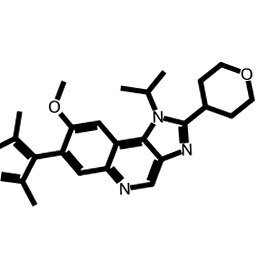 COc1cc2c(cc1-c1c(C)noc1C)ncc1nc(C3CCOCC3)n(C(C)C)c12